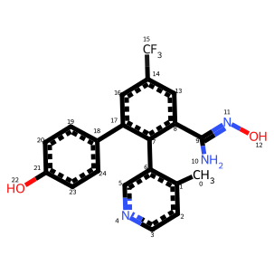 Cc1ccncc1-c1c(/C(N)=N/O)cc(C(F)(F)F)cc1-c1ccc(O)cc1